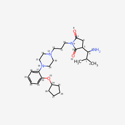 CC(C)C(N)C1CC(=O)N(CCCN2CCN(c3ccccc3OC3CCCC3)CC2)C1=O